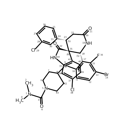 CN(C)C(=O)N1CCC(Oc2ccc(Br)c(F)c2[C@H]2NC(=O)C[C@@H](c3cccc(Cl)c3)[C@]23C(=O)Nc2cc(Cl)ccc23)CC1